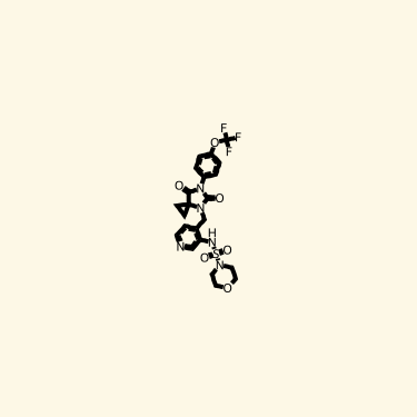 O=C1N(c2ccc(OC(F)(F)F)cc2)C(=O)C2(CC2)N1Cc1ccncc1NS(=O)(=O)N1CCOCC1